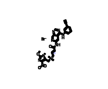 C#Cc1cccc(Nc2ncnc3cnc(NC(=O)/C=C/C[N+](C)(C)Cc4c([N+](=O)[O-])nc(OC)n4C)cc23)c1.[Br-]